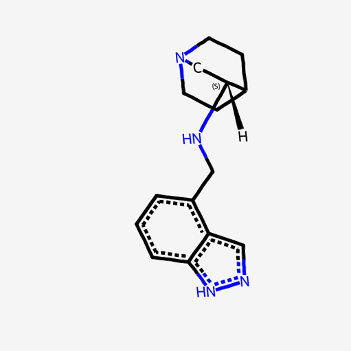 c1cc(CN[C@@H]2CN3CCC2CC3)c2cn[nH]c2c1